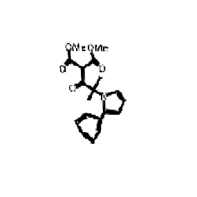 COC(=O)C(C(=O)OC)C(=O)C(C)(C)n1cccc1-c1ccccc1